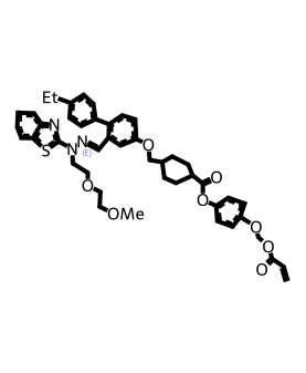 C=CC(=O)OCOc1ccc(OC(=O)C2CCC(COc3ccc(-c4ccc(CC)cc4)c(/C=N/N(CCOCCOC)c4nc5ccccc5s4)c3)CC2)cc1